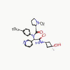 CC(C)(C)c1ccc(N(C(=O)[C@H]2CCCN2C#N)C(C(=O)N[C@H]2C[C@@](C)(O)C2)c2cccnc2)cc1